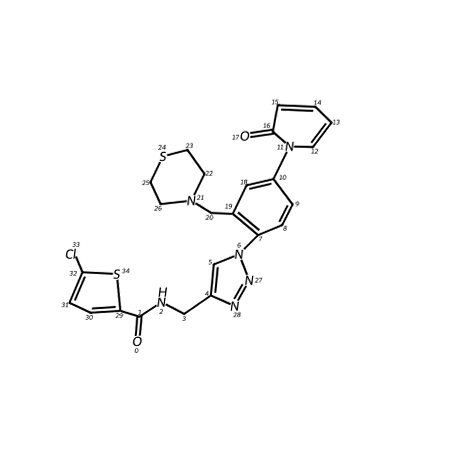 O=C(NCc1cn(-c2ccc(-n3ccccc3=O)cc2CN2CCSCC2)nn1)c1ccc(Cl)s1